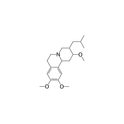 COc1cc2c(cc1OC)C1CC(OC)C(CC(C)C)CN1CC2